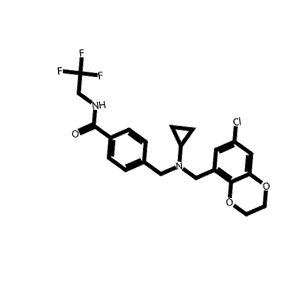 O=C(NCC(F)(F)F)c1ccc(CN(Cc2cc(Cl)cc3c2OCCO3)C2CC2)cc1